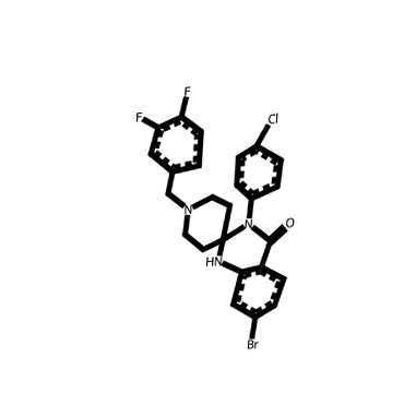 O=C1c2ccc(Br)cc2NC2(CCN(Cc3ccc(F)c(F)c3)CC2)N1c1ccc(Cl)cc1